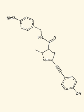 COc1ccc(CNC(=O)C2SC(C#Cc3ccc(O)cc3)=NC2C)cc1